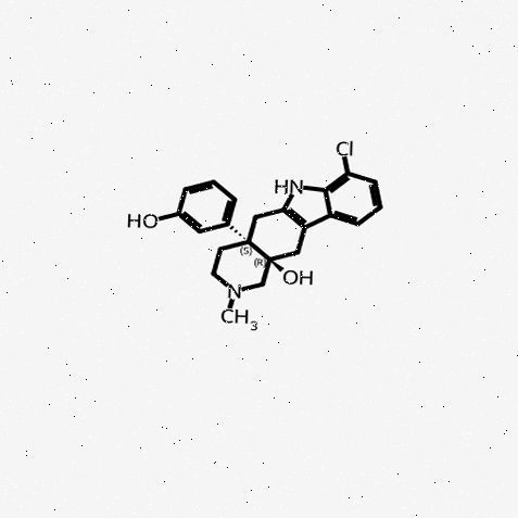 CN1CC[C@@]2(c3cccc(O)c3)Cc3[nH]c4c(Cl)cccc4c3C[C@]2(O)C1